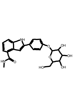 CNC(=O)c1cccc2[nH]c(-c3ccc(OC4OC(CO)C(O)C(O)C4O)cc3)cc12